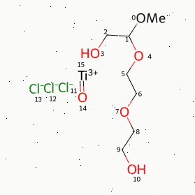 COC(CO)OCCOCCO.[Cl-].[Cl-].[Cl-].[O]=[Ti+3]